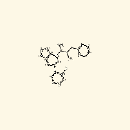 NC(Cc1ccccc1)C(N)c1nc(-c2ccncc2Cl)nc2ccsc12